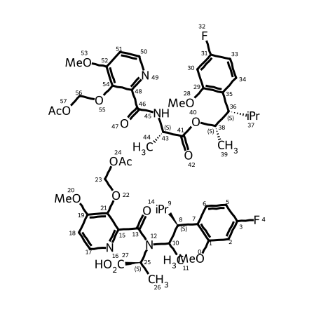 COc1cc(F)ccc1[C@H](C(C)C)C(C)N(C(=O)c1nccc(OC)c1OCOC(C)=O)[C@@H](C)C(=O)O.COc1cc(F)ccc1[C@H](C(C)C)[C@H](C)OC(=O)[C@H](C)NC(=O)c1nccc(OC)c1OCOC(C)=O